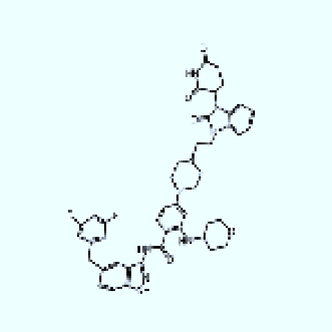 O=C1CCC(n2c(=O)n(CCN3CCN(c4ccc(C(=O)Nc5n[nH]c6ccc(Cc7cc(F)cc(F)c7)cc56)c(NC5CCOCC5)c4)CC3)c3ccccc32)C(=O)N1